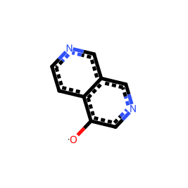 [O]c1cncc2cnccc12